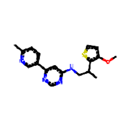 COc1ccsc1C(C)CNc1cc(-c2ccc(C)nc2)ncn1